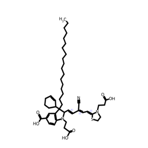 CCCCCCCCCCCCCCCCCCC1(C2C=CCCC2)c2cc(C(=O)O)ccc2N(CCC(=O)O)C1/C=C/C(C#N)=C/C=C1\SCCN1CCC(=O)O